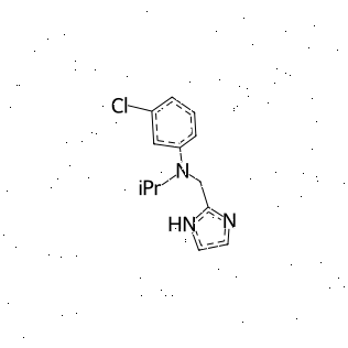 CC(C)N(Cc1ncc[nH]1)c1cccc(Cl)c1